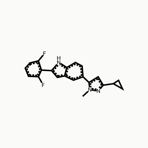 Cn1nc(C2CC2)cc1-c1ccc2[nH]c(-c3c(F)cccc3F)cc2c1